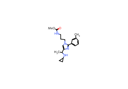 COC(=O)NCCCn1cc(C(C)NC2CC2)nc1-c1cccc(C)c1